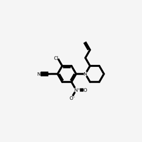 C=CCC1CCCCN1c1cc(Cl)c(C#N)cc1[N+](=O)[O-]